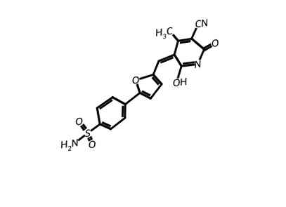 CC1=C(C#N)C(=O)N=C(O)/C1=C\c1ccc(-c2ccc(S(N)(=O)=O)cc2)o1